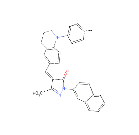 Cc1ccc(N2CCCc3cc(/C=C4\C(=O)N(c5ccc6ccccc6c5)N=C4C(=O)O)ccc32)cc1